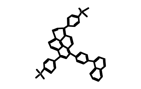 C[Si](C)(C)c1ccc(-c2ccc3ccc4c(-c5ccc([Si](C)(C)C)cc5)cc(-c5ccc(-c6cccc7ccccc67)cc5)c5ccc2c3c45)cc1